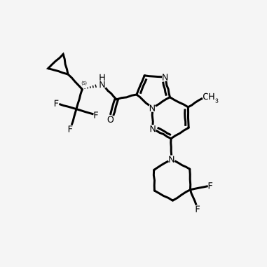 Cc1cc(N2CCCC(F)(F)C2)nn2c(C(=O)N[C@@H](C3CC3)C(F)(F)F)cnc12